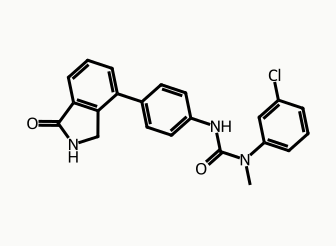 CN(C(=O)Nc1ccc(-c2cccc3c2CNC3=O)cc1)c1cccc(Cl)c1